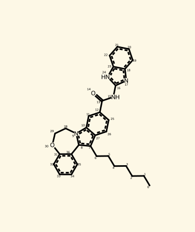 CCCCCCCc1c2n(c3cc(C(=O)Nc4nc5ccccc5[nH]4)ccc13)CCOc1ccccc1-2